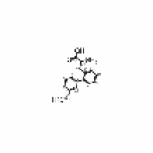 COc1cccc(-c2ccccc2CC(N)C(=O)O)c1